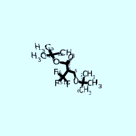 CC(C)(C)OCC(C(=O)OC(C)(C)C)C(F)(F)F